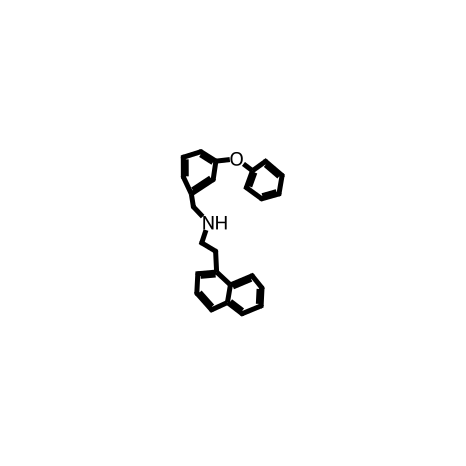 c1ccc(Oc2cccc(CNCCc3cccc4ccccc34)c2)cc1